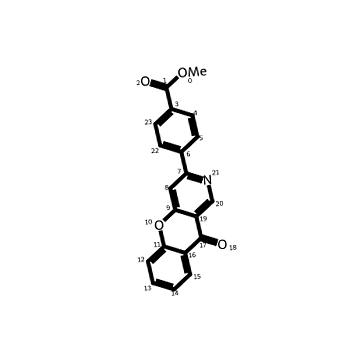 COC(=O)c1ccc(-c2cc3oc4ccccc4c(=O)c3cn2)cc1